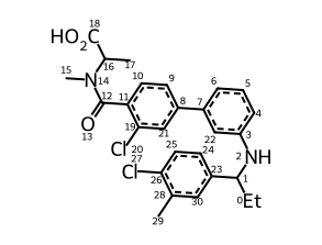 CCC(Nc1cccc(-c2ccc(C(=O)N(C)C(C)C(=O)O)c(Cl)c2)c1)c1ccc(Cl)c(C)c1